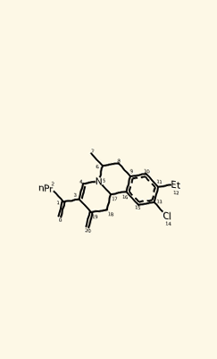 C=C(CCC)C1=CN2C(C)Cc3cc(CC)c(Cl)cc3C2CC1=C